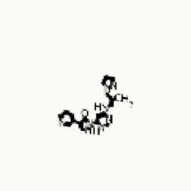 CC(CNc1cc(-n2[nH]cc(-c3cccnc3)c2=O)ncn1)CN1CCC=N1